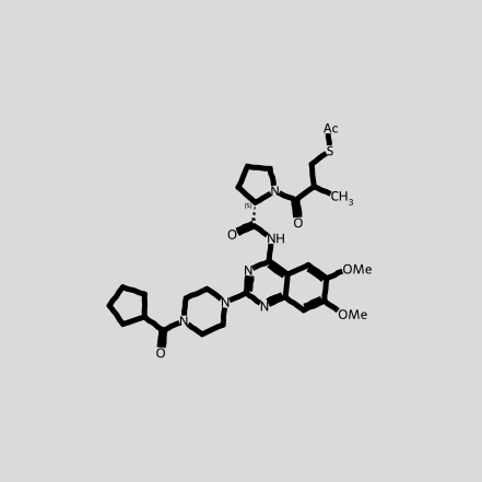 COc1cc2nc(N3CCN(C(=O)C4CCCC4)CC3)nc(NC(=O)[C@@H]3CCCN3C(=O)C(C)CSC(C)=O)c2cc1OC